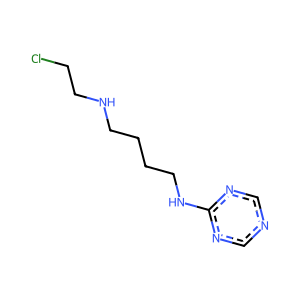 ClCCNCCCCNc1ncncn1